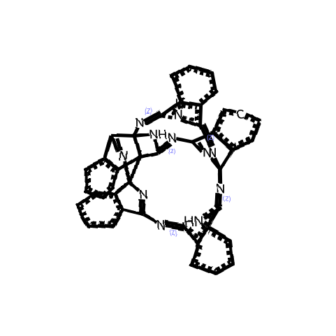 c1ccc2c(c1)C1=NC23/N=c2\[nH]/c(c4ccccc24)=N\C2=NC4(N=C5c6ccccc6C46/C(=N/1)NC56/N=c1\[nH]/c(c4ccccc14)=N\3)c1ccccc12